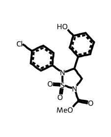 COC(=O)N1CC(c2cccc(O)c2)N(c2ccc(Cl)cc2)S1(=O)=O